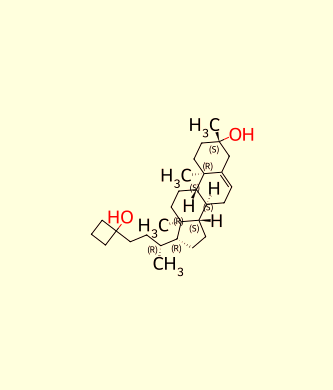 C[C@H](CCC1(O)CCC1)[C@H]1CC[C@H]2[C@@H]3CC=C4C[C@@](C)(O)CC[C@]4(C)[C@H]3CC[C@]12C